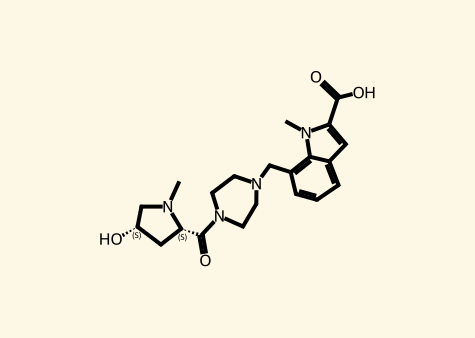 CN1C[C@@H](O)C[C@H]1C(=O)N1CCN(Cc2cccc3cc(C(=O)O)n(C)c23)CC1